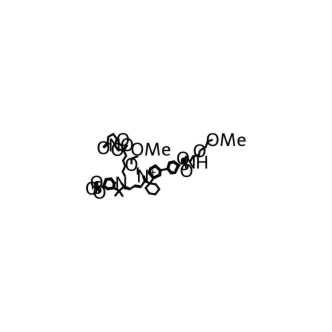 COCCOCCNS(=O)(=O)c1ccc(-c2ccc3c(c2)C2(CCCCC2)C(C=CC=C2N(CCCCCC(=O)ON4C(=O)CCC4=O)c4ccc(S(=O)(=O)[O-])cc4C2(C)C)=[N+]3CCOCCOC)cc1